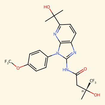 CC(C)(O)c1ccc2nc(NC(=O)C[C@@](C)(O)C(F)(F)F)n(-c3ccc(OC(F)(F)F)cc3)c2n1